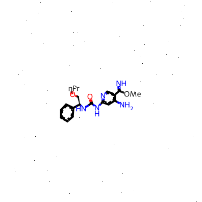 CCCOC[C@@H](NC(=O)Nc1cc(N)c(C(=N)OC)cn1)c1ccccc1